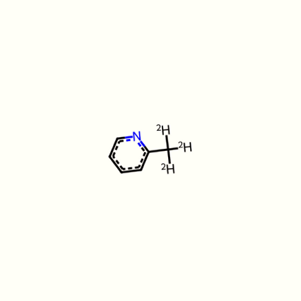 [2H]C([2H])([2H])c1ccccn1